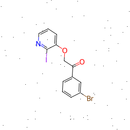 O=C(COc1cccnc1I)c1cccc(Br)c1